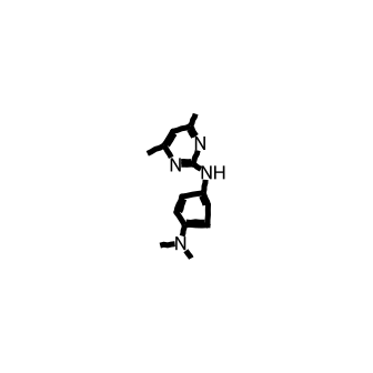 Cc1cc(C)nc(Nc2ccc(N(C)C)cc2)n1